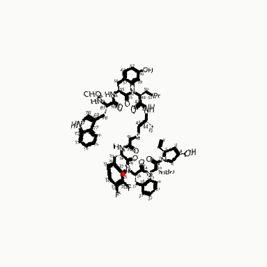 C=C[C@H]1C[C@H](O)CN1C(=O)[C@H](CCCC)N(C)C(=O)[C@H](Cc1ccccc1)N(C)C(=O)[C@H](Cc1ccc(F)c(F)c1)NC(=O)CSC[C@@H](C)NC(=O)[C@H](CC(C)C)NC(=O)[C@H](Cc1ccc(O)cc1)NC(=O)[C@H](Cc1c[nH]c2ccccc12)NC=O